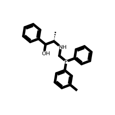 Cc1cccc(P(CN[C@@H](C)C(O)c2ccccc2)c2ccccc2)c1